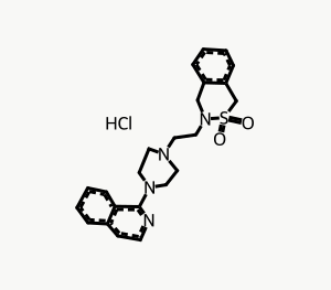 Cl.O=S1(=O)Cc2ccccc2CN1CCN1CCN(c2nccc3ccccc23)CC1